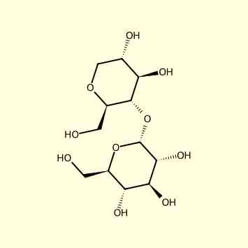 OC[C@H]1O[C@H](O[C@H]2[C@H](O)[C@@H](O)CO[C@@H]2CO)[C@H](O)[C@@H](O)[C@@H]1O